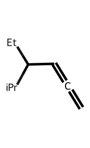 C=C=CC(CC)C(C)C